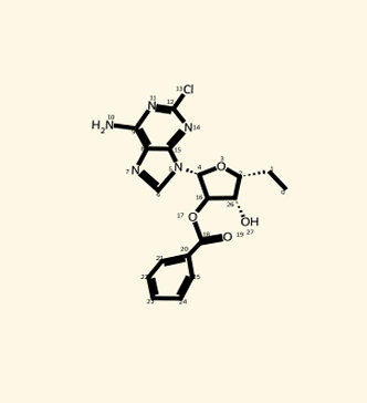 CC[C@H]1O[C@@H](n2cnc3c(N)nc(Cl)nc32)C(OC(=O)c2ccccc2)[C@H]1O